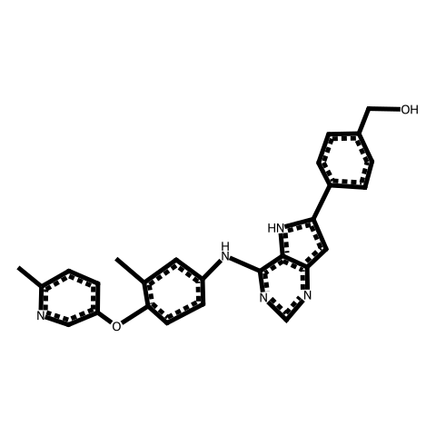 Cc1ccc(Oc2ccc(Nc3ncnc4cc(-c5ccc(CO)cc5)[nH]c34)cc2C)cn1